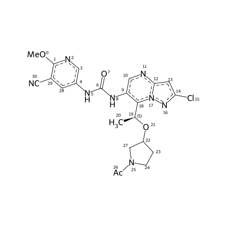 COc1ncc(NC(=O)Nc2cnc3cc(Cl)nn3c2[C@H](C)OC2CCN(C(C)=O)C2)cc1C#N